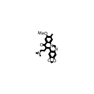 COc1cc2c(=O)c(CCN(C)C)c3c4cc5c(cc4ncn3c2cc1C)OCO5